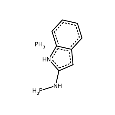 P.PNc1cc2ccccc2[nH]1